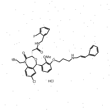 COc1c(OCCCNC/C=C/c2ccccc2)cccc1[C@@H]1O[C@@H](CC(=O)NCc2ccccc2F)C(=O)N(CC(C)(C)C)c2ccc(Cl)cc21.Cl